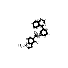 Cn1ccc2c(Cl)c(C(=O)Nc3cccc(-c4ncnc5ccccc45)c3)ccc21